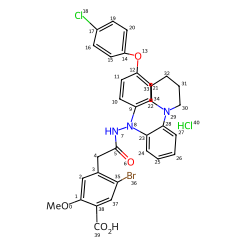 COc1cc(CC(=O)NN(c2ccc(Oc3ccc(Cl)cc3)cc2)c2ccccc2N2CCCCC2)c(Br)cc1C(=O)O.Cl